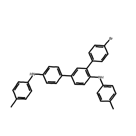 Cc1ccc(Nc2ccc(-c3ccc(Nc4ccc(C)cc4)c(-c4ccc(Br)cc4)c3)cc2)cc1